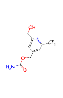 NC(=O)OCc1cc(CO)nc(C(F)(F)F)c1